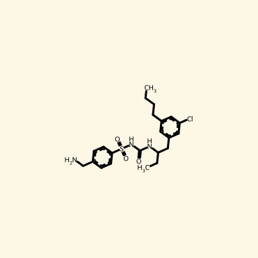 CCCCc1cc(Cl)cc(CC(CC)NC(=O)NS(=O)(=O)c2ccc(CN)cc2)c1